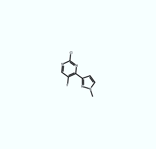 Cn1ccc(-c2nc(Cl)ncc2F)n1